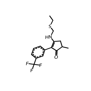 CCSCNC1=C(c2cccc(C(F)(F)F)c2)C(=O)C(C)C1